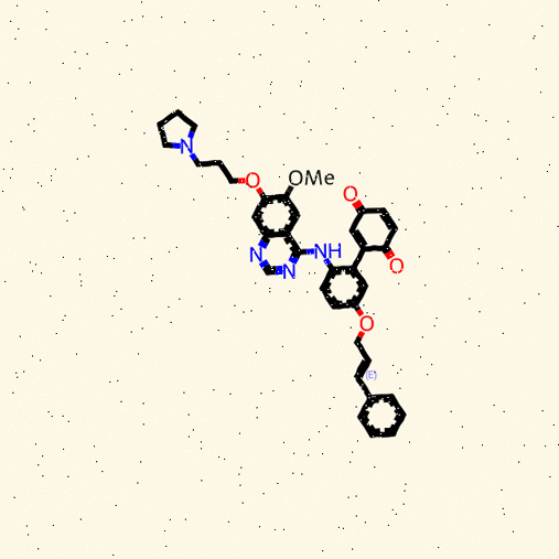 COc1cc2c(Nc3ccc(OC/C=C/c4ccccc4)cc3C3=CC(=O)C=CC3=O)ncnc2cc1OCCCN1CCCC1